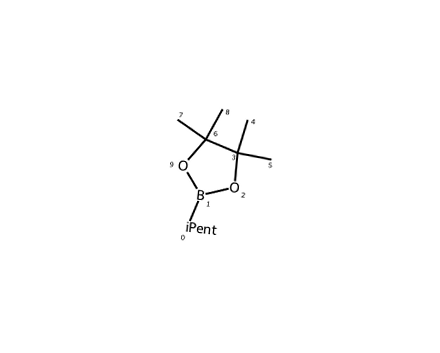 CCCC(C)B1OC(C)(C)C(C)(C)O1